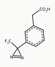 O=C(O)Cc1cccc(C2(C(F)(F)F)N=N2)c1